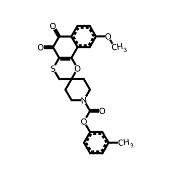 COc1ccc2c(c1)C1=C(SCC3(CCN(C(=O)Oc4cccc(C)c4)CC3)O1)C(=O)C2=O